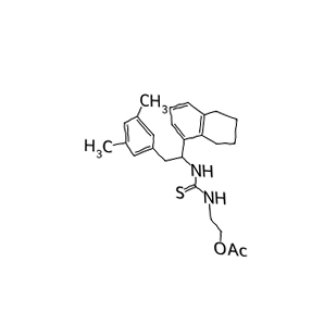 CC(=O)OCCNC(=S)NC(Cc1cc(C)cc(C)c1)c1cccc2c1CCCC2